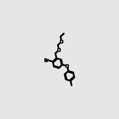 CCOCOCc1cc(Oc2ccc(C)cc2)ccc1Br